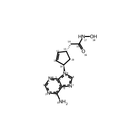 Nc1ncnc2c1ncn2[C@H]1C=C[C@H](CC(=O)NO)C1